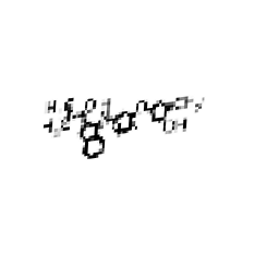 [CH2][C@@H]1C[C@H](Oc2cc(N[C@H]3c4ccccc4C[C@H]3C(=O)N(C)C)ncn2)C[C@H]1O